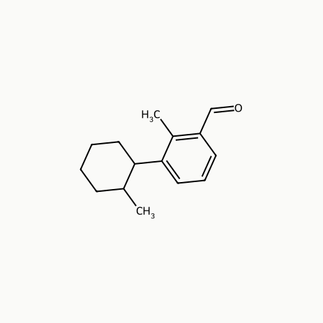 Cc1c(C=O)cccc1C1CCCCC1C